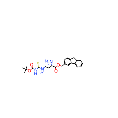 CC(C)(C)OC(=O)NC(=S)NCCC(N)C(=O)OCc1ccc2c(c1)-c1ccccc1C2